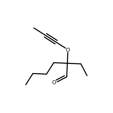 CC#COC(C=O)(CC)CCCC